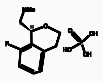 CNC[C@@H]1OCCc2cccc(F)c21.O=P(O)(O)O